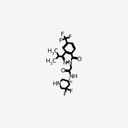 CC(C)c1nn(CC(=O)N[C@H]2CNCC(F)(F)C2)c(=O)c2ccc(C(F)(F)F)cc12